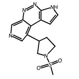 CS(=O)(=O)N1CCC(c2cncc3nnc4[nH]ccc4c23)C1